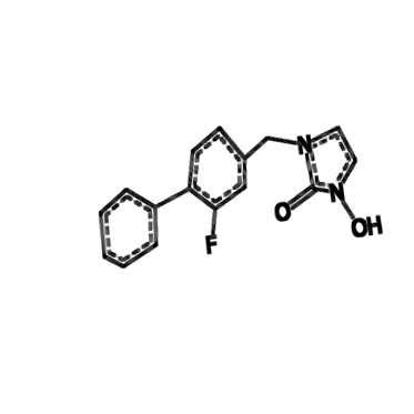 O=c1n(O)ccn1Cc1ccc(-c2ccccc2)c(F)c1